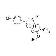 CC(C)N(CCN(C)C(=O)OC(C)(C)C)C[C@@H](C(=O)O)c1ccc(Cl)cc1